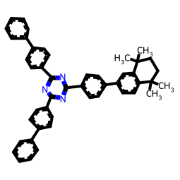 CC1(C)CCC(C)(C)c2cc(-c3ccc(-c4nc(-c5ccc(-c6ccccc6)cc5)nc(-c5ccc(-c6ccccc6)cc5)n4)cc3)ccc21